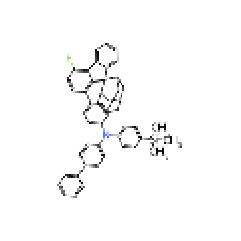 C[Si](C)(C)c1ccc(N(c2ccc(-c3ccccc3)cc2)c2ccc(-c3ccc(F)c4c3C3(c5ccccc5-4)C4CC5CC(C4)CC3C5)cc2)cc1